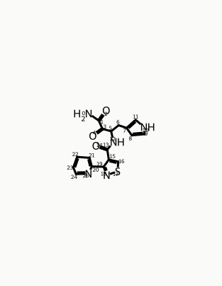 NC(=O)C(=O)C(Cc1cc[nH]c1)NC(=O)c1csnc1-c1ccccn1